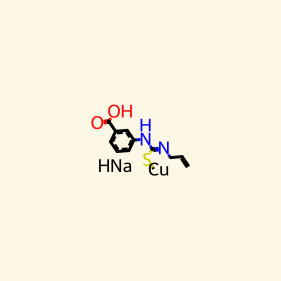 C=CC/N=C(/Nc1cccc(C(=O)O)c1)[S][Cu].[NaH]